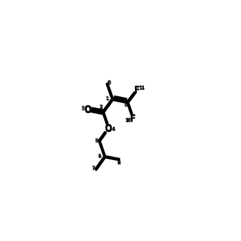 CC(C(=O)OCC(C)C)=C(F)F